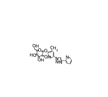 Cc1cc(-n2cc(-c3ccccn3)nn2)ccc1O[C@H]1O[C@H](CO)[C@@H](O)[C@H](O)[C@@H]1O